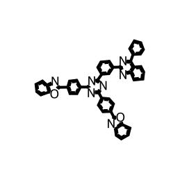 c1ccc(-c2nc(-c3cccc(-c4nc(-c5ccc(-c6nc7ccccc7o6)cc5)nc(-c5ccc(-c6nc7ccccc7o6)cc5)n4)c3)nc3ccccc23)cc1